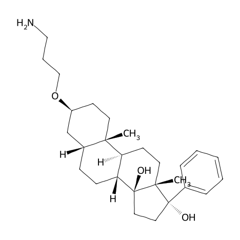 C[C@]12CC[C@H](OCCCN)C[C@H]1CC[C@@H]1[C@@H]2CC[C@]2(C)[C@@](O)(c3ccccc3)CC[C@]12O